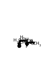 CCOC(=O)/C=C/c1cc(F)ccc1[C@@H](C)OC[C@H](O)CNC(C)(C)CC1Cc2ccccc2C1